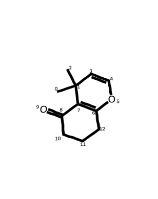 CC1(C)C=COC2=C1C(=O)CCC2